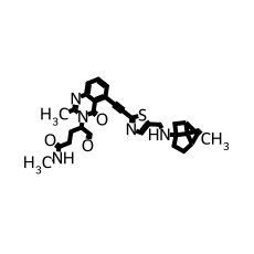 CCC12C3CCC1(NCc1cnc(C#Cc4cccc5nc(C)n(C(C=O)CCC(=O)NC)c(=O)c45)s1)CC2C3